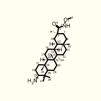 CONC(=O)[C@@]1(C)CC[C@]2(C)CC[C@]3(C)[C@H](CC[C@@H]4[C@@]5(C)CC[C@H](N)C(C)(C)C5CC[C@]43C)[C@H]2C1